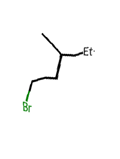 C[CH]C(C)CCBr